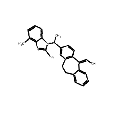 CCCc1nc2c(C)cccc2n1C(C)c1ccc2c(c1)CCc1ccccc1C2=CC#N